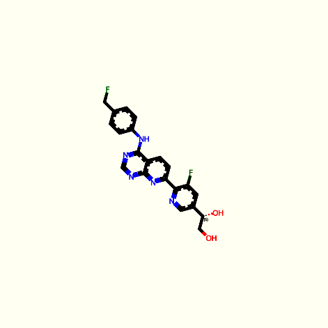 OC[C@@H](O)c1cnc(-c2ccc3c(Nc4ccc(CF)cc4)ncnc3n2)c(F)c1